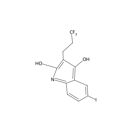 Oc1nc2ccc(I)cc2c(O)c1CCC(F)(F)F